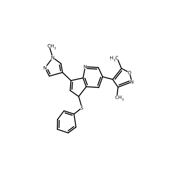 Cc1noc(C)c1-c1cnc2c(c1)C(Sc1ccccc1)C=C2c1cnn(C)c1